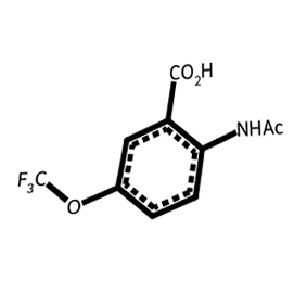 CC(=O)Nc1ccc(OC(F)(F)F)cc1C(=O)O